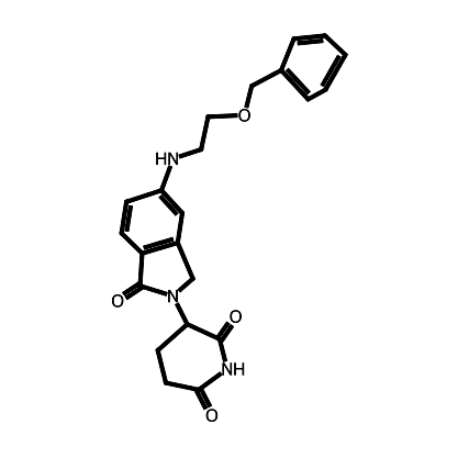 O=C1CCC(N2Cc3cc(NCCOCc4ccccc4)ccc3C2=O)C(=O)N1